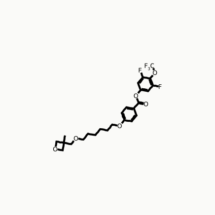 CC1(COCCCCCCOc2ccc(C(=O)Oc3cc(F)c(OC(F)(F)F)c(F)c3)cc2)COC1